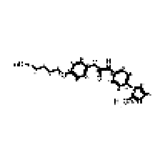 CCCCCCCCCCCCCCOc1ccc(CC(=O)Nc2ccc(-n3ccnc3C)cc2)cc1